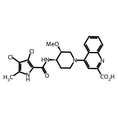 CO[C@H]1CN(c2cc(C(=O)O)nc3ccccc23)CC[C@H]1NC(=O)c1[nH]c(C)c(Cl)c1Cl